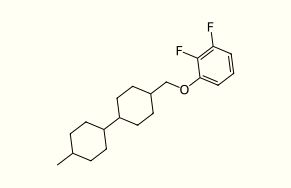 CC1CCC(C2CCC(COc3cccc(F)c3F)CC2)CC1